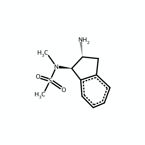 CN([C@@H]1c2ccccc2C[C@H]1N)S(C)(=O)=O